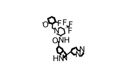 COc1cccc(F)c1CN1C[C@H](NC(=O)c2ccc3[nH]nc(-c4ccc5nccn5c4)c3c2)C[C@@H](C(F)(F)F)C1